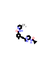 Cc1ccc(C(=O)Nc2cc(C(F)(F)F)ccn2)cc1C#Cc1cnc2c(NC(=O)C3CC3)cccn12